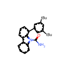 CC(C)(C)c1cc(-c2cccc3c4ccccc4n(C(N)=O)c23)cc(C(C)(C)C)c1